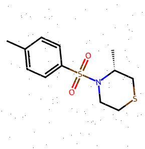 Cc1ccc(S(=O)(=O)N2CCSC[C@H]2C)cc1